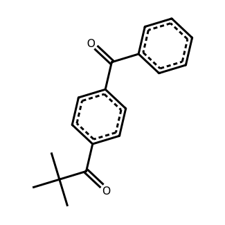 CC(C)(C)C(=O)c1ccc(C(=O)c2ccccc2)cc1